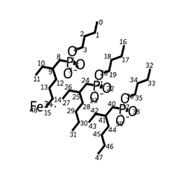 CCCCOP(=O)([O-])CC(CC)CCCC.CCCCOP(=O)([O-])CC(CC)CCCC.CCCCOP(=O)([O-])CC(CC)CCCC.[Fe+3]